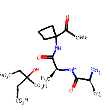 COC(=O)C1(NC(=O)[C@H](C)NC(=O)[C@H](C)N)CCC1.O=C(O)CC(O)(CC(=O)O)C(=O)O